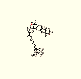 C=C(COCCCCC(F)(F)C(F)(F)S(=O)(=O)O)C(=O)OC(C1CCC(C(O)(C(F)(F)F)C(F)(F)F)CC1)(C(F)(F)F)C(F)(F)F